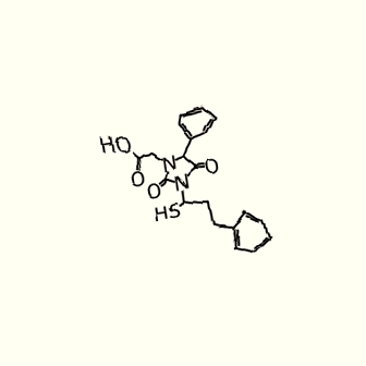 O=C(O)CN1C(=O)N(C(S)CCc2ccccc2)C(=O)C1c1ccccc1